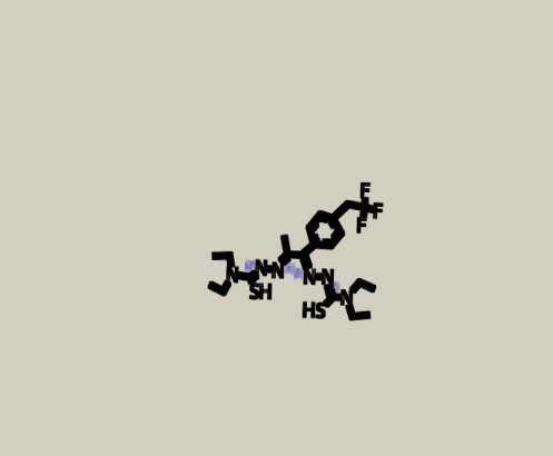 CCN(CC)/C(S)=N/N=C(C)/C(=N/N=C(\S)N(CC)CC)c1ccc(CC(F)(F)F)cc1